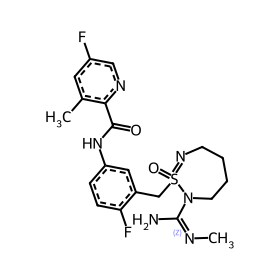 C/N=C(/N)N1CCCCN=S1(=O)Cc1cc(NC(=O)c2ncc(F)cc2C)ccc1F